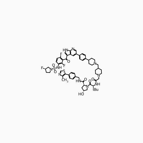 Cc1ncsc1-c1ccc(CNC(=O)[C@@H]2C[C@@H](O)CN2C(=O)[C@@H](NC(=O)CN2CCC(CN3CCC(c4ccc(-c5cnc6[nH]cc(C(=O)c7c(F)ccc(NS(=O)(=O)N8CC[C@@H](F)C8)c7F)c6c5)cc4)CC3)CC2)C(C)(C)C)cc1